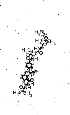 COC(=O)[C@H](CCC(=O)NCCOC(C)(C)OCCN)NC(=O)c1ccc(N(Cc2ccc3nc(NC(=O)C(C)C)[nH]c(=O)c3c2)C(=O)C(F)(F)F)cc1